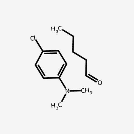 CCCCC=O.CN(C)c1ccc(Cl)cc1